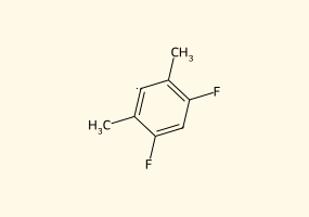 Cc1[c]c(C)c(F)cc1F